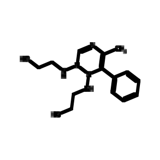 CC1=C(c2ccccc2)N(NCCO)N(NCCO)C=N1